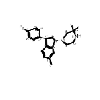 Cc1ccc2c(c1)[C@@H](N1CCNC(C)(C)C1)C[C@@H]2c1ccc(F)cc1